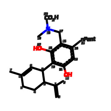 C=C(C)C1CCC(C)=CC1c1c(O)cc(CCCCC)c(CN(C)C(=O)O)c1O